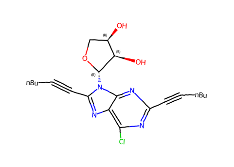 CCCCC#Cc1nc(Cl)c2nc(C#CCCCC)n([C@@H]3OC[C@@H](O)[C@H]3O)c2n1